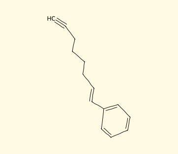 C#CCCCCC=Cc1ccccc1